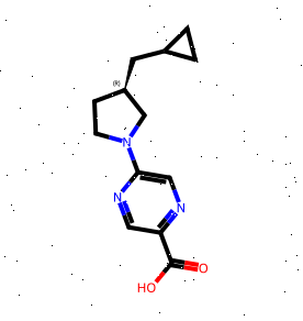 O=C(O)c1cnc(N2CC[C@@H](CC3CC3)C2)cn1